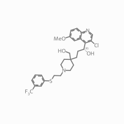 COc1ccc2ncc(Cl)c([C@H](O)CCC3(CO)CCN(CCSc4cccc(C(F)(F)F)c4)CC3)c2c1